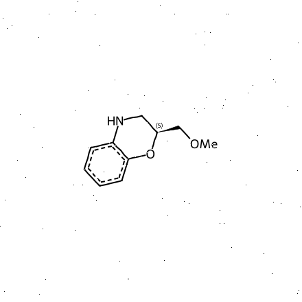 COC[C@@H]1CNc2ccccc2O1